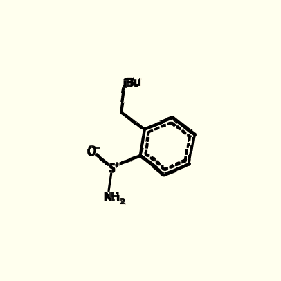 CCC(C)Cc1ccccc1[S+](N)[O-]